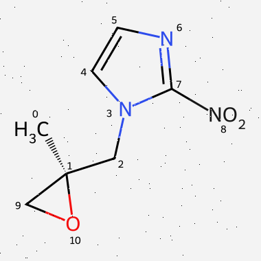 C[C@@]1(Cn2ccnc2[N+](=O)[O-])CO1